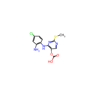 CSc1ncc(OC(=O)O)c(Nc2ccc(Cl)cc2N)n1